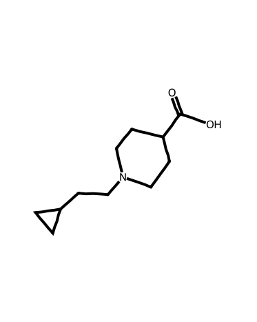 O=C(O)C1CCN(CCC2CC2)CC1